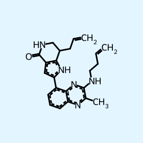 C=CCCNc1nc2c(-c3cc4c([nH]3)C(CC=C)CNC4=O)cccc2nc1C